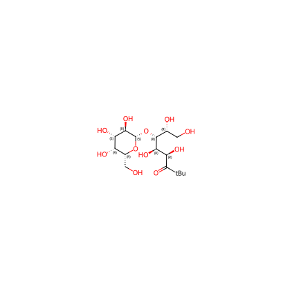 CC(C)(C)C(=O)[C@H](O)[C@@H](O)[C@H](O[C@@H]1O[C@H](CO)[C@H](O)[C@H](O)[C@H]1O)[C@H](O)CO